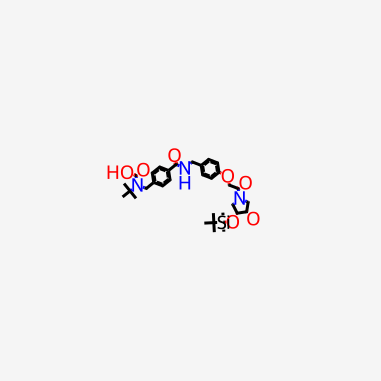 CC(C)(C)N(Cc1ccc(C(=O)NCc2ccc(OCC(=O)N3CC(=O)[C@@H](O[Si](C)(C)C(C)(C)C)C3)cc2)cc1)C(=O)O